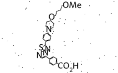 COCCCCOC1CCN(c2ccc(-c3nn4c(-c5ccc(C(=O)O)cc5)cnc4s3)cc2)CC1